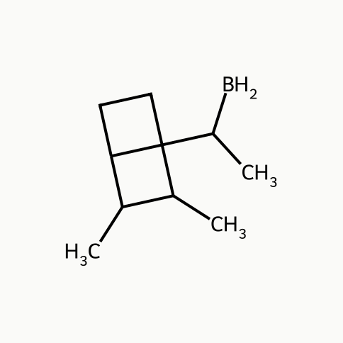 BC(C)C12CCC1C(C)C2C